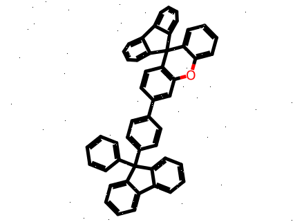 c1ccc(C2(c3ccc(-c4ccc5c(c4)Oc4ccccc4C54c5ccccc5-c5ccccc54)cc3)c3ccccc3-c3ccccc32)cc1